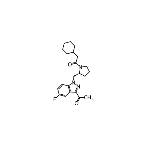 CC(=O)c1nn(C[C@@H]2CCCN2C(=O)CC2CCCCC2)c2ccc(F)cc12